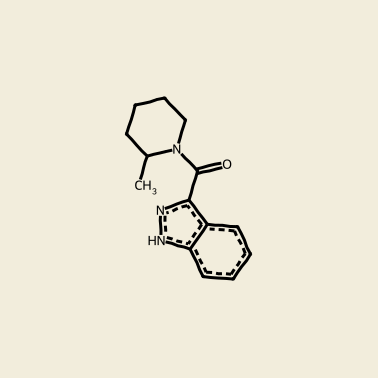 CC1CCCCN1C(=O)c1n[nH]c2ccccc12